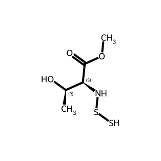 COC(=O)[C@@H](NSS)[C@@H](C)O